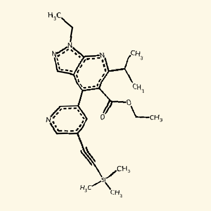 CCOC(=O)c1c(C(C)C)nc2c(cnn2CC)c1-c1cncc(C#C[Si](C)(C)C)c1